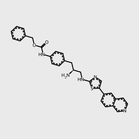 N[C@H](CNc1ncc(-c2ccc3cnccc3c2)s1)Cc1ccc(NC(=O)OCc2ccccc2)cc1